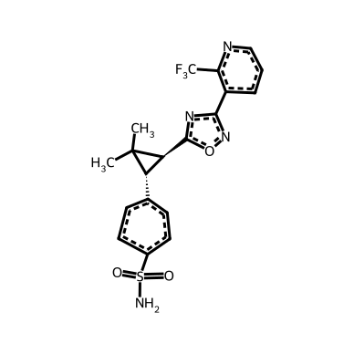 CC1(C)[C@@H](c2ccc(S(N)(=O)=O)cc2)[C@@H]1c1nc(-c2cccnc2C(F)(F)F)no1